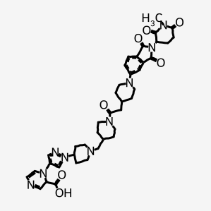 CN1C(=O)CCC(N2C(=O)c3ccc(N4CCC(CC(=O)N5CCC(CN6CCC(n7cc(N8C=CN=CC8C(=O)O)cn7)CC6)CC5)CC4)cc3C2=O)C1=O